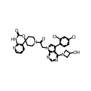 O=C1Nc2ncccc2C2(CCN(C(=O)Cn3cc(-c4ccc(Cl)cc4Cl)c4c(N5CC(O)C5)ncnc43)CC2)O1